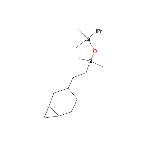 CC(C)[Si](C)(C)O[Si](C)(C)CCC1CCC2CC2C1